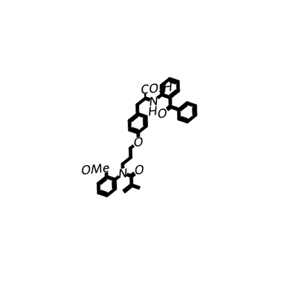 C=C(C)C(=O)N(CCCOc1ccc(C[C@H](Nc2ccccc2C(=O)c2ccccc2)C(=O)O)cc1)c1ccccc1OC